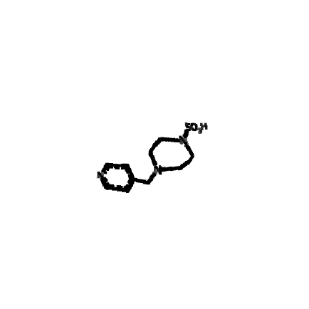 O=S(=O)(O)N1CCN(Cc2ccncc2)CC1